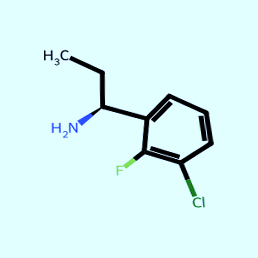 CC[C@H](N)c1cccc(Cl)c1F